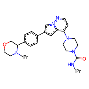 CC(C)NC(=O)N1CCN(c2ccnn3cc(-c4ccc(C5COCCN5C(C)C)cc4)cc23)CC1